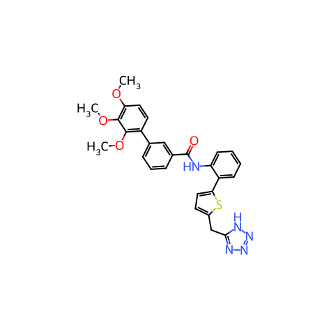 COc1ccc(-c2cccc(C(=O)Nc3ccccc3-c3ccc(Cc4nnn[nH]4)s3)c2)c(OC)c1OC